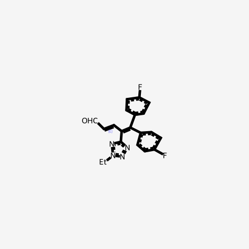 CCn1nnc(C(/C=C/C=O)=C(c2ccc(F)cc2)c2ccc(F)cc2)n1